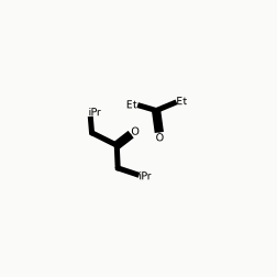 CC(C)CC(=O)CC(C)C.CCC(=O)CC